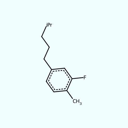 Cc1ccc(CCCC(C)C)cc1F